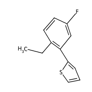 CCc1ccc(F)cc1-c1cccs1